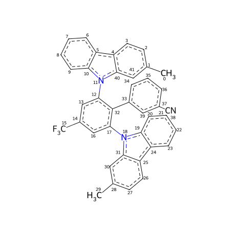 Cc1ccc2c3ccccc3n(-c3cc(C(F)(F)F)cc(-n4c5ccccc5c5ccc(C)cc54)c3-c3cccc(C#N)c3)c2c1